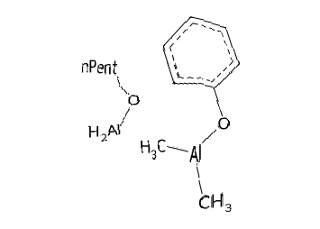 CCCCC[O][AlH2].[CH3][Al]([CH3])[O]c1ccccc1